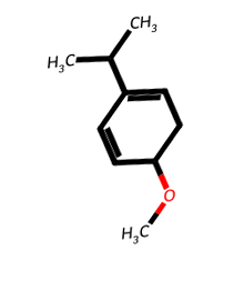 COC1C=CC(C(C)C)=CC1